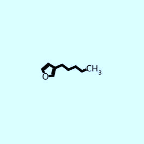 CCCCCc1ccoc1